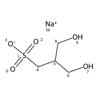 O=S(=O)([O-])CC(CO)CO.[Na+]